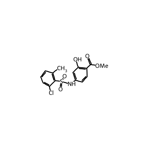 COC(=O)c1ccc(NS(=O)(=O)c2c(C)cccc2Cl)cc1O